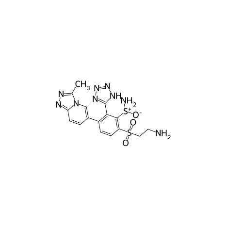 Cc1nnc2ccc(-c3ccc(S(=O)(=O)CCN)c([S+](N)[O-])c3-c3nnn[nH]3)cn12